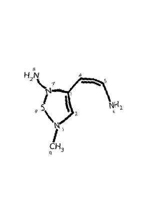 CN1C=C(/C=C\N)N(N)S1